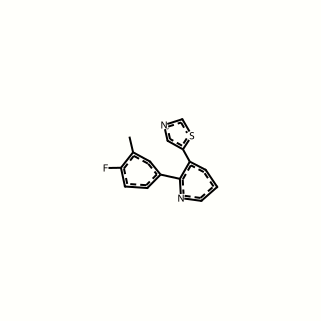 Cc1cc(-c2ncccc2-c2cncs2)ccc1F